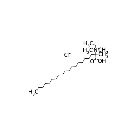 CCCCCCCCCCCCCCCCCCC(C)(C(=O)O)[N+](C)(C)CC.[Cl-]